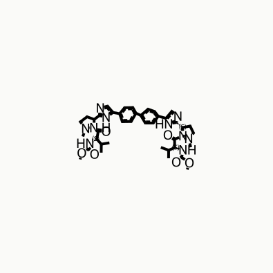 COC(=O)N[C@H](C(=O)N1C(c2ncc(-c3ccc(-c4ccc(-c5cnc([C@@H]6CCN(C)N6C(=O)[C@@H](NC(=O)OC)C(C)C)[nH]5)cc4)cc3)[nH]2)CCN1C)C(C)C